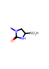 O=C1NC(S(=O)(=O)O)CN1I